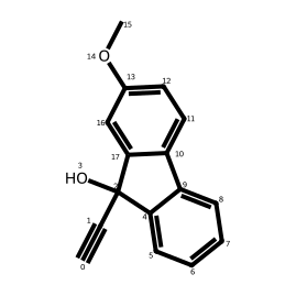 C#CC1(O)c2ccccc2-c2ccc(OC)cc21